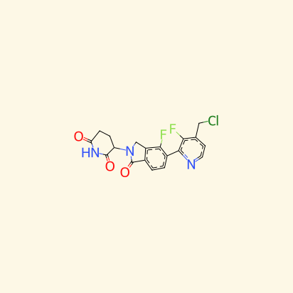 O=C1CCC(N2Cc3c(ccc(-c4nccc(CCl)c4F)c3F)C2=O)C(=O)N1